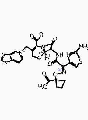 Nc1nc(/C(=N/OC2(C(=O)O)CCC2)C(=O)NC2C(=O)N3C(C(=O)[O-])=C(C[n+]4ccc5scnc5c4)CS[C@@H]23)cs1